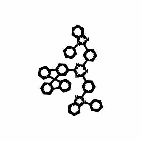 c1ccc(-n2c(-c3cccc(-c4nc(-c5cccc(-c6nc7ccccc7n6-c6ccccc6)c5)nc(-c5ccc6c(c5)C5(c7ccccc7-c7ccccc75)c5ccccc5-6)n4)c3)nc3ccccc32)cc1